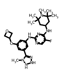 CN1NNN=C1c1cc(Nc2ncc(F)c(NC3CC(C)(C)N(C)C(C)(C)C3)n2)cc(OC2COC2)c1